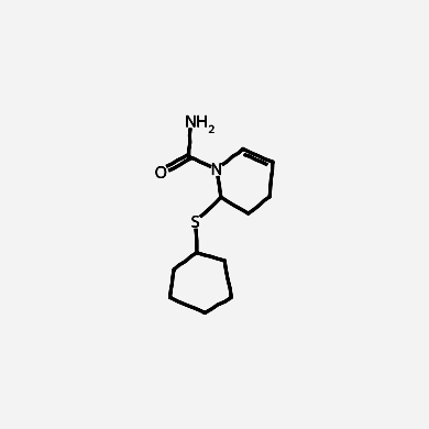 NC(=O)N1C=CCCC1SC1CCCCC1